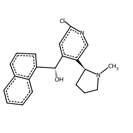 CN1CCC[C@H]1c1cnc(Cl)cc1[C@H](O)c1cccc2ccccc12